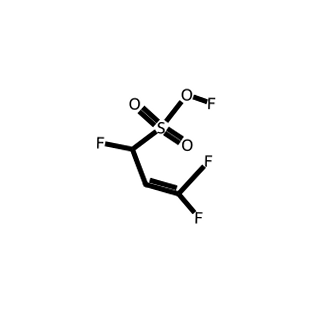 O=S(=O)(OF)C(F)C=C(F)F